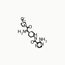 Nc1nccnc1C(=O)N[C@H]1CC[C@H]([C@H](N)C(=O)N2CC[S+]([O-])C2)CC1